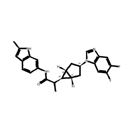 Cc1cc2ccc(NC(=O)C(C)[C@H]3[C@@H]4C[C@@H](n5cnc6cc(F)c(F)cc65)C[C@@H]43)cc2[nH]1